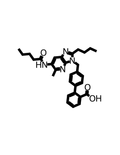 CCCCC(=O)Nc1cc2nc(CCCC)n(Cc3ccc(-c4ccccc4C(=O)O)cc3)c2nc1C